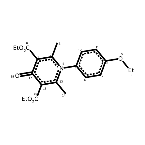 CCOC(=O)c1c(C)n(-c2ccc(OCC)cc2)c(C)c(C(=O)OCC)c1=O